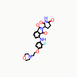 O=C1CCC(N2C(=O)c3cccc(Nc4ccc(OCCN5CCOCC5)cc4F)c3C2=O)C(=O)N1